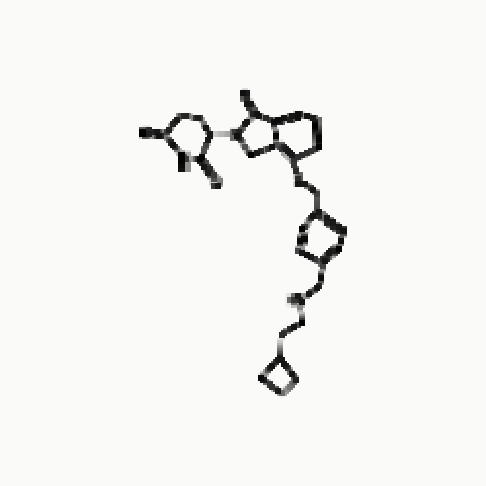 O=C1CCC(N2Cc3c(SCc4ccc(CNCCC5CCC5)cc4)cccc3C2=O)C(=O)N1